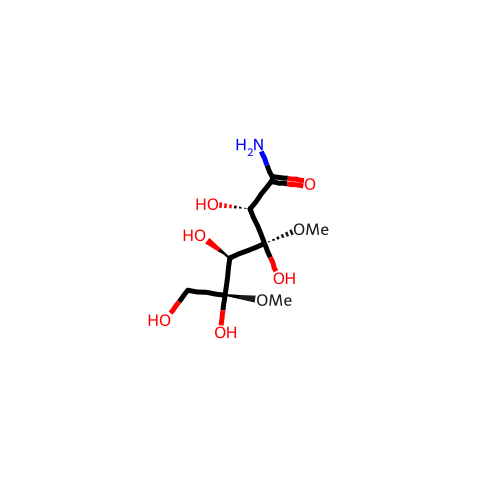 CO[C@@](O)([C@H](O)C(N)=O)[C@H](O)[C@](O)(CO)OC